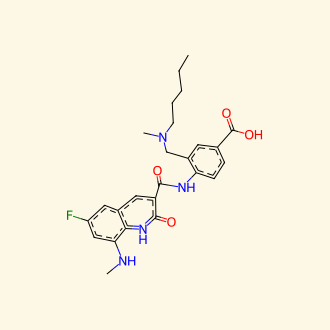 CCCCCN(C)Cc1cc(C(=O)O)ccc1NC(=O)c1cc2cc(F)cc(NC)c2[nH]c1=O